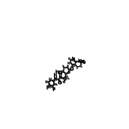 O=C1CCc2c(Oc3ccc(O)c(C4C5CC54NC(=O)Nc4ccc(F)c(F)c4)c3)ccnc2N1